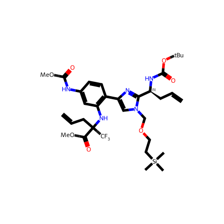 C=CC[C@H](NC(=O)OC(C)(C)C)c1nc(-c2ccc(NC(=O)OC)cc2NC(CC=C)(C(=O)OC)C(F)(F)F)cn1COCC[Si](C)(C)C